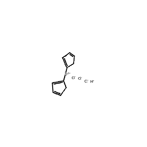 C1=CC[C]([Zr+2][C]2=CC=CC2)=C1.[Cl-].[Cl-].[Cl-].[H+]